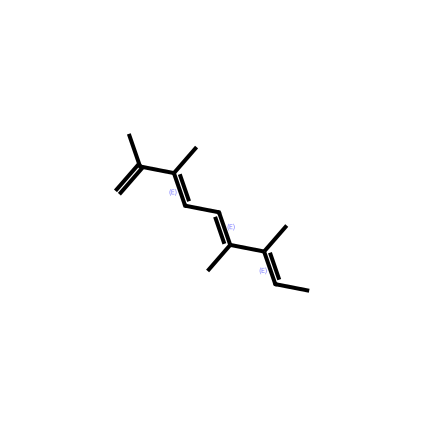 C=C(C)/C(C)=C/C=C(C)/C(C)=C/C